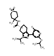 CC(C)Oc1cc(-c2nn(C(C)C)c3c2CC[C@@H](C(=O)NC2(C)CCS(=O)(=O)CC2)C3)c(F)cn1